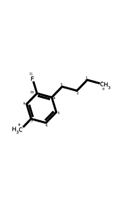 C[CH]CCc1ccc(C)cc1F